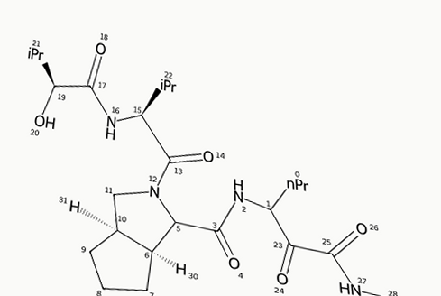 CCCC(NC(=O)C1[C@H]2CCC[C@H]2CN1C(=O)[C@@H](NC(=O)[C@@H](O)C(C)C)C(C)C)C(=O)C(=O)NCC(=O)O